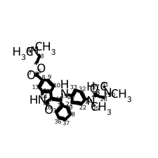 CN(C)CCOC(=O)c1ccc2c(c1)NC(=O)C2=C(Nc1ccc(N(C)C(=O)CN(C)C)cc1)c1ccccc1